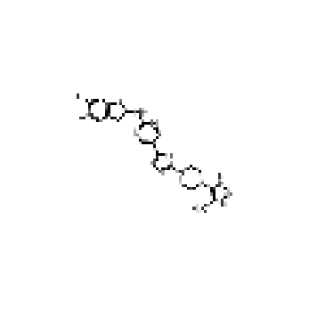 Cc1nn[nH]c1C1CCN(c2nnc(-c3cnc(NC4Cc5cc(F)c(F)cc5C4)nc3)o2)CC1